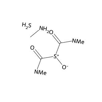 CN.CNC(=O)[S+]([O-])C(=O)NC.S